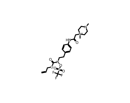 C=CCOC(=O)N(CCc1ccc(NC(=O)C[N+]2(C)CCN(C)CC2)cc1)OS(=O)(=O)C(F)(F)F